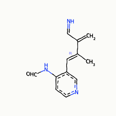 C=C(C=N)/C(C)=C/c1cnccc1NC=O